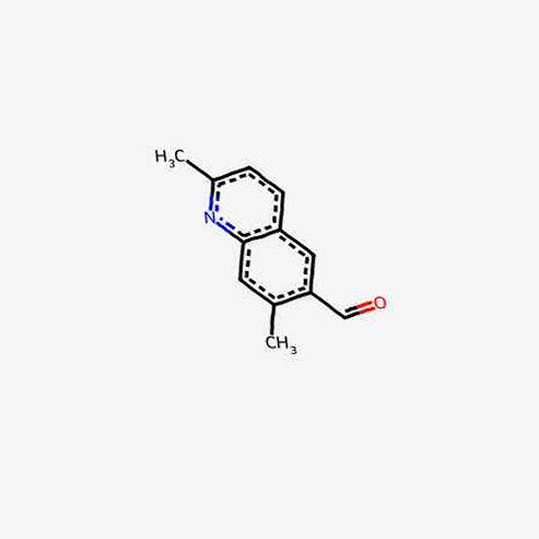 Cc1ccc2cc(C=O)c(C)cc2n1